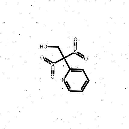 O=[SH](=O)C(CO)(c1ccccn1)[SH](=O)=O